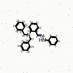 C(=N\Nc1ccccc1)/c1ccccc1N(Cc1ccccc1)Cc1ccccc1